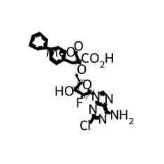 COC(=O)[C@](Cc1ccc(-c2ccccc2)cc1)(OC[C@H]1O[C@@H](n2cnc3c(N)nc(Cl)nc32)[C@@H](F)[C@@H]1O)C(=O)O